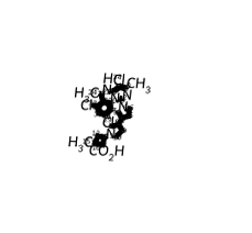 Cc1nc(N2CCC(C3CCN(C4CC(C)(C(=O)O)C4)C3)C2)nc(NC(C)c2ccc(Cl)cc2Cl)c1Cl